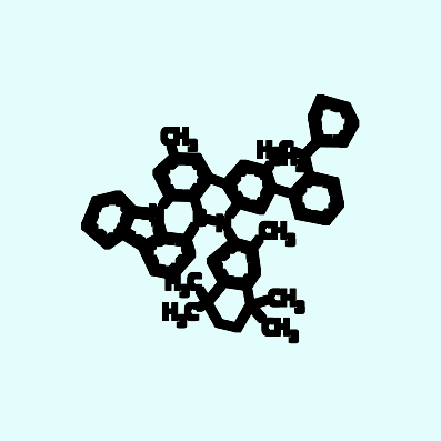 Cc1cc2c3c(c1)-n1c4ccccc4c4cccc(c41)B3N(c1cc3c(cc1C)C(C)(C)CCC3(C)C)c1cc(-c3ccccc3C(C)c3ccccc3)c(C)cc1-2